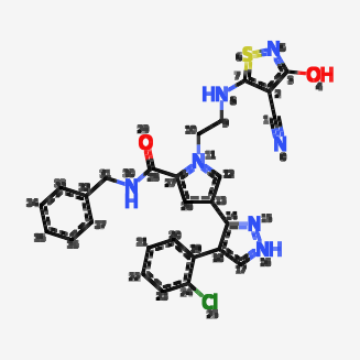 N#Cc1c(O)nsc1NCCn1cc(-c2n[nH]cc2-c2ccccc2Cl)cc1C(=O)NCc1ccccc1